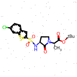 C[C@@H](C(=O)OC(C)(C)C)N1CC[C@H](NS(=O)(=O)c2cc3ccc(Cl)cc3s2)C1=O